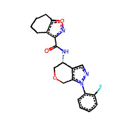 O=C(N[C@H]1COCc2c1cnn2-c1ccccc1F)c1noc2c1CCCC2